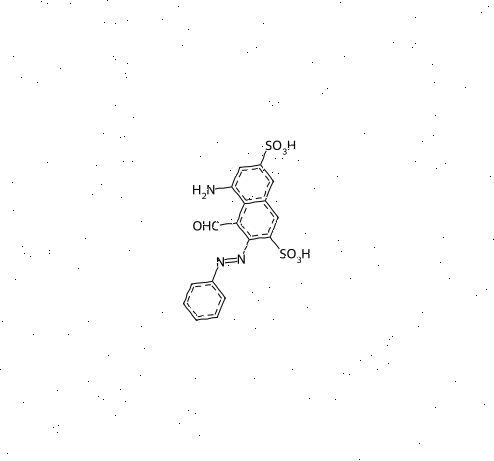 Nc1cc(S(=O)(=O)O)cc2cc(S(=O)(=O)O)c(N=Nc3ccccc3)c(C=O)c12